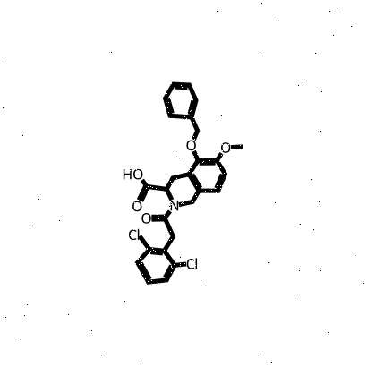 COc1ccc2c(c1OCc1ccccc1)CC(C(=O)O)N(C(=O)Cc1c(Cl)cccc1Cl)C2